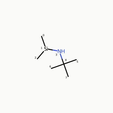 C[Si](C)NC(C)(C)C